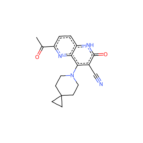 CC(=O)c1ccc2[nH]c(=O)c(C#N)c(N3CCC4(CC3)CC4)c2n1